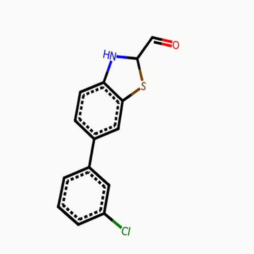 O=CC1Nc2ccc(-c3cccc(Cl)c3)cc2S1